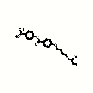 C=CC(O)OCCCCOc1ccc(C(=O)Oc2ccc(B(O)O)cc2)cc1